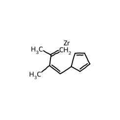 C=C(C)C(C)=CC1C=CC=C1.[Zr]